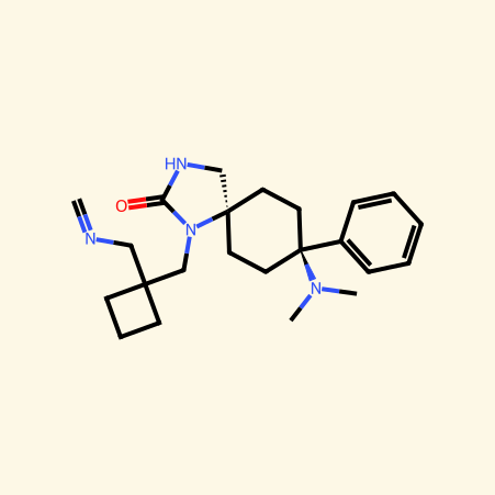 C=NCC1(CN2C(=O)NC[C@]23CC[C@](c2ccccc2)(N(C)C)CC3)CCC1